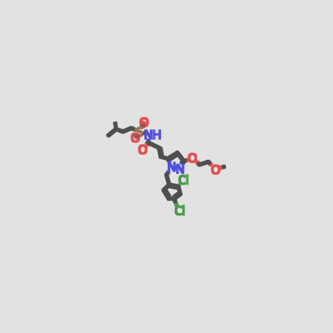 COCCOc1cc(C=CC(=O)NS(=O)(=O)CCC(C)C)n(Cc2ccc(Cl)cc2Cl)n1